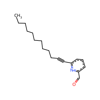 CCCCCCCCCCC#Cc1cccc(C=O)n1